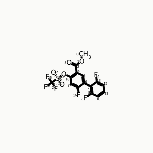 COC(=O)c1cc(-c2c(F)cccc2F)c(F)cc1OS(=O)(=O)C(F)(F)F